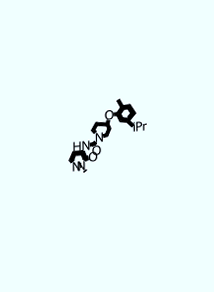 Cc1ccc(C(C)C)cc1OC1CCN(C(=O)Nc2ccnn(C)c2=O)CC1